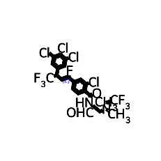 CN(CC(F)(F)F)CC(C)(C=O)NC(=O)c1ccc(/C(F)=C/C(c2cc(Cl)c(Cl)c(Cl)c2)C(F)(F)F)cc1Cl